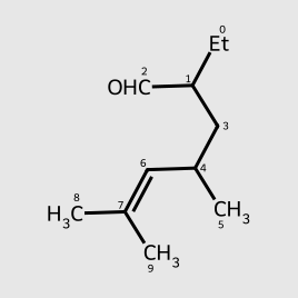 CCC(C=O)CC(C)C=C(C)C